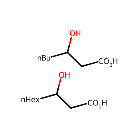 CCCCC(O)CC(=O)O.CCCCCCC(O)CC(=O)O